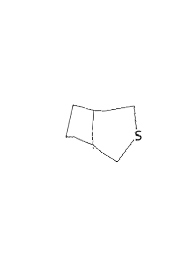 C1CC2CSC[C]12